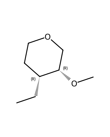 CC[C@@H]1CCOC[C@@H]1OC